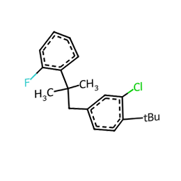 CC(C)(C)c1ccc(CC(C)(C)c2ccccc2F)cc1Cl